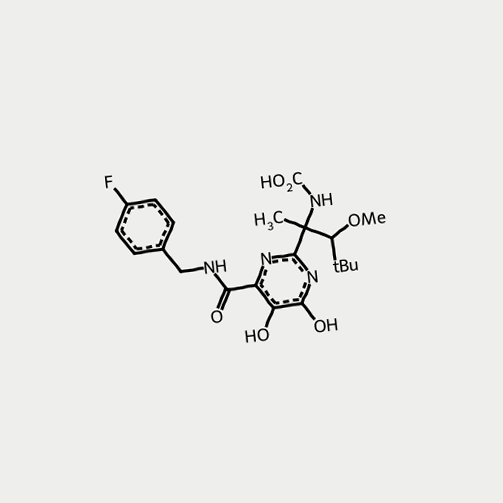 COC(C(C)(C)C)C(C)(NC(=O)O)c1nc(O)c(O)c(C(=O)NCc2ccc(F)cc2)n1